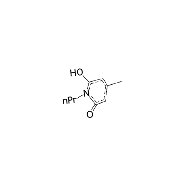 CCCn1c(O)cc(C)cc1=O